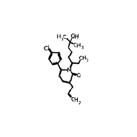 C=CCC1CCC(c2ccc(Cl)cc2)N(C(CC)CCCC(C)(C)O)C1=O